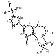 C[C@H]1COc2cc(-c3noc(C(F)(F)F)n3)cc(F)c2CN1C(=O)C(C)(C)F